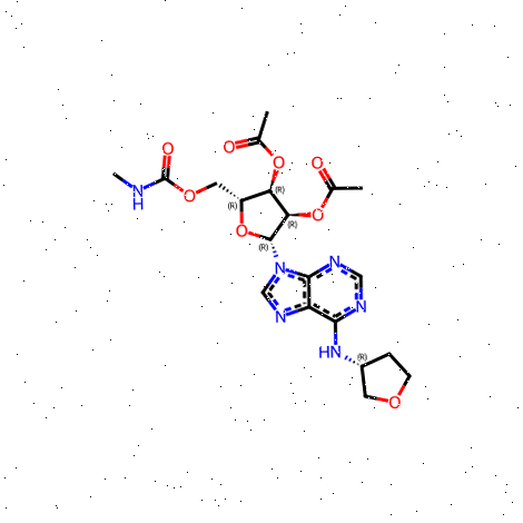 CNC(=O)OC[C@H]1O[C@@H](n2cnc3c(N[C@@H]4CCOC4)ncnc32)[C@H](OC(C)=O)[C@@H]1OC(C)=O